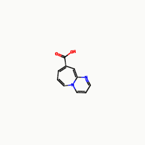 O=C(O)C1=CC=CN2C=CC=NC2=C1